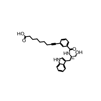 O=C(O)CCCCCCC#Cc1cccc(C(=O)N[C@@H](CO)Cc2c[nH]c3ccccc23)c1